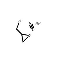 ClCC1CO1.[C-]#N.[Na+]